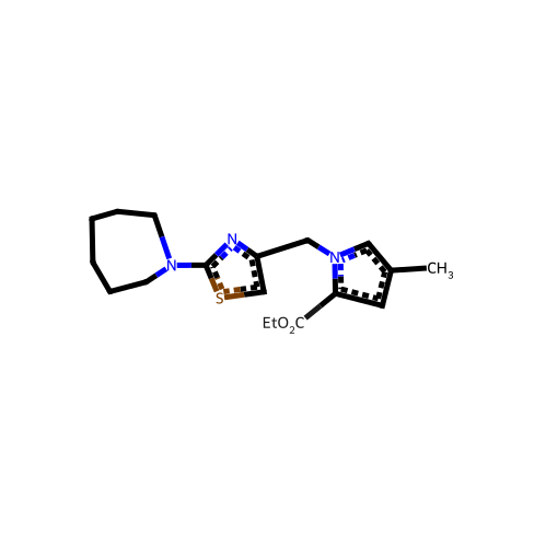 CCOC(=O)c1cc(C)cn1Cc1csc(N2CCCCCC2)n1